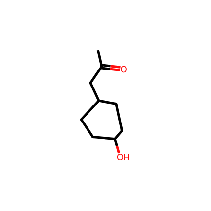 CC(=O)CC1CCC(O)CC1